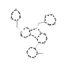 Clc1ccccc1-c1cccc2c1c1cc[n+](Cc3ccccc3)cc1n2Cc1ccccc1